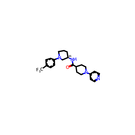 O=C(N[C@@H]1CCCN(c2ccc(C(F)(F)F)cc2)C1)C1CCN(c2ccncc2)CC1